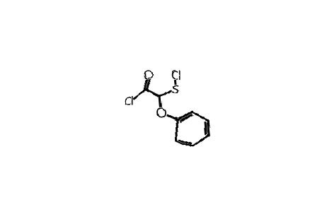 O=C(Cl)C(Oc1ccccc1)SCl